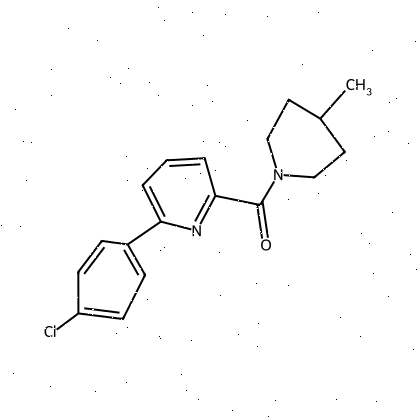 CC1CCN(C(=O)c2cccc(-c3ccc(Cl)cc3)n2)CC1